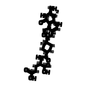 Nc1nc2c(c(=O)[nH]1)N(C=O)C(CNC1CCC(C(=O)NC(CCC(=O)O)C(=O)O)CC1)=CN2